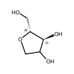 OC[C@H]1OC[C](O)[C@@H]1O